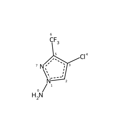 Nn1cc(Cl)c(C(F)(F)F)n1